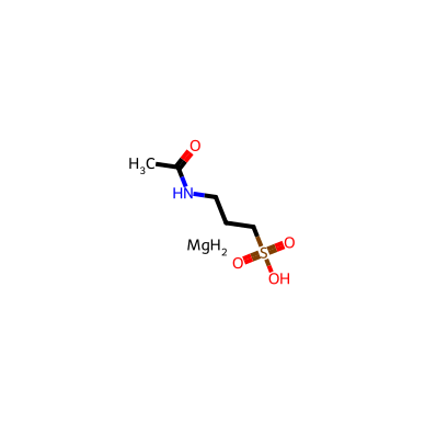 CC(=O)NCCCS(=O)(=O)O.[MgH2]